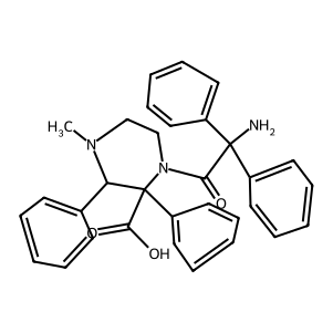 CN1CCN(C(=O)C(N)(c2ccccc2)c2ccccc2)C(C(=O)O)(c2ccccc2)C1c1ccccc1